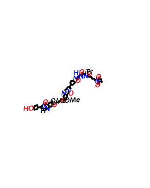 COc1cc2c(cc1OCCCOc1cc3c(cc1OC)C(=O)N1C=C(c4ccc(O)cc4)C[C@H]1C=N3)N=CC1CC(c3ccc(NC(=O)CNC(=O)C(NC(=O)CCCCCN4C(=O)CC(C)C4=O)C(C)C)cc3)=CN1C2=O